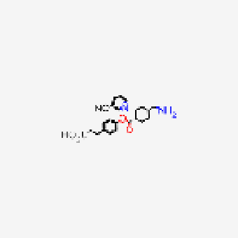 N#Cc1cccnc1.NC[C@H]1CC[C@H](C(=O)Oc2ccc(CCC(=O)O)cc2)CC1